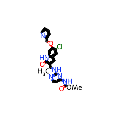 COC(=O)Nc1ccnc(NC(C)c2cc3cc(Cl)c(OCc4ccccn4)cc3[nH]c2=O)n1